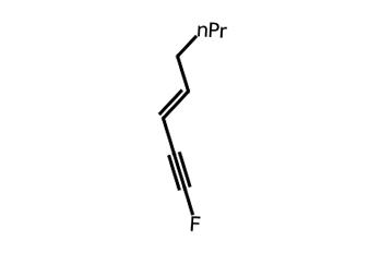 [CH2]CCC/C=C/C#CF